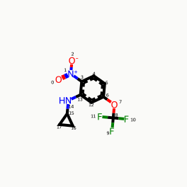 O=[N+]([O-])c1ccc(OC(F)(F)F)cc1NC1CC1